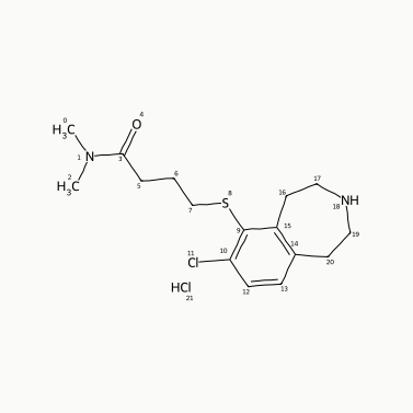 CN(C)C(=O)CCCSc1c(Cl)ccc2c1CCNCC2.Cl